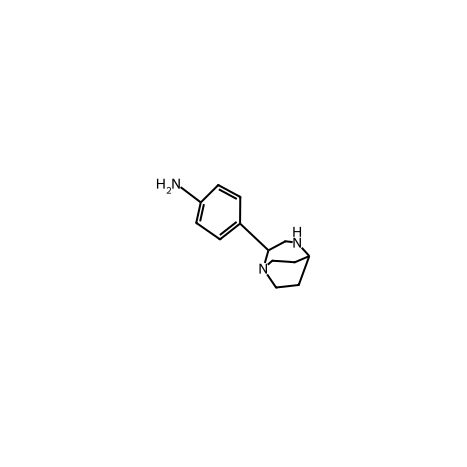 Nc1ccc(C2CNC3CCN2CC3)cc1